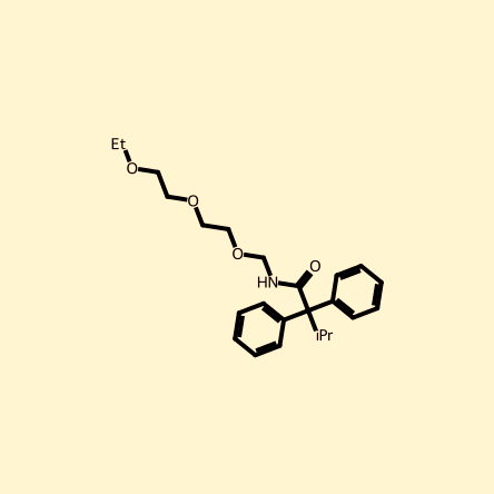 CCOCCOCCOCNC(=O)C(c1ccccc1)(c1ccccc1)C(C)C